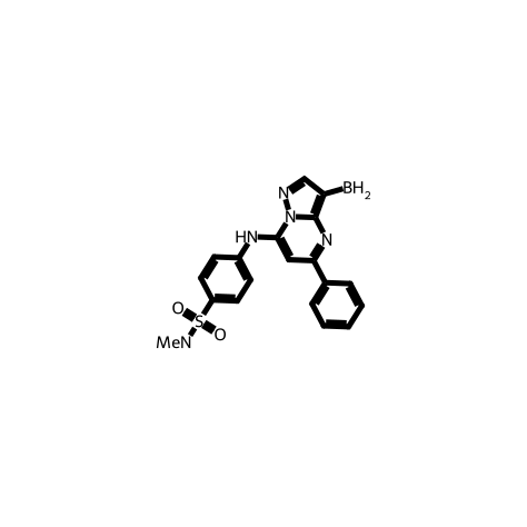 Bc1cnn2c(Nc3ccc(S(=O)(=O)NC)cc3)cc(-c3ccccc3)nc12